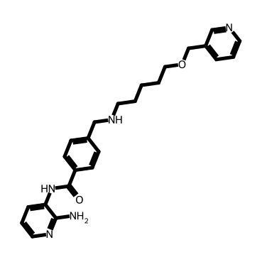 Nc1ncccc1NC(=O)c1ccc(CNCCCCCOCc2cccnc2)cc1